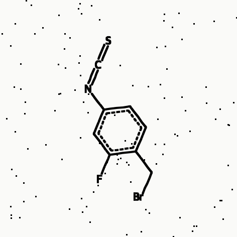 Fc1cc(N=C=S)ccc1CBr